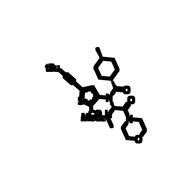 CO[C@@H](C)[C@@H](C(=O)N1CCOCC1)N(c1cc(C#CC(C)(C)C)sc1C(=O)O)C(=O)[C@H]1CC[C@H](C)CC1